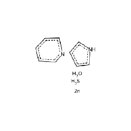 O.S.[Zn].c1cc[nH]c1.c1ccncc1